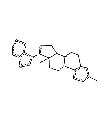 Cc1ccc2c(c1)CCC1C2CCC2(C)C(n3cnc4ccccc43)=CCC12